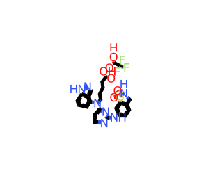 O=C(O)C(F)(F)F.O=C(O)CCCCN(c1ccnc(Nc2ccc3c(c2)S(=O)(=O)NC3)n1)c1cccc2[nH]ncc12